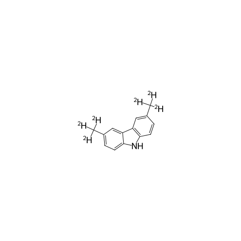 [2H]C([2H])([2H])c1ccc2[nH]c3ccc(C([2H])([2H])[2H])cc3c2c1